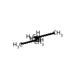 CCCCCCCCCCCCCCCCNC(CCC)(C(=O)O)[C@H](S)O[C@H](C)CCCCCCCCCCCCCC